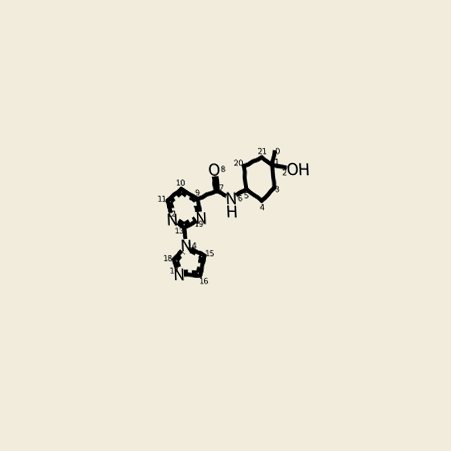 CC1(O)CCC(NC(=O)c2ccnc(-n3ccnc3)n2)CC1